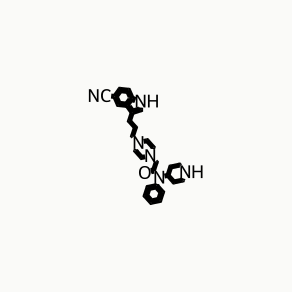 N#Cc1ccc2[nH]cc(CCCN3CCN(CC(=O)N(c4ccccc4)C4CCNCC4)CC3)c2c1